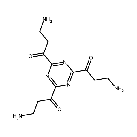 NCCC(=O)c1nc(C(=O)CCN)nc(C(=O)CCN)n1